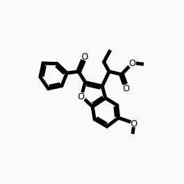 CCC(C(=O)OC)c1c(C(=O)c2ccccc2)oc2ccc(OC)cc12